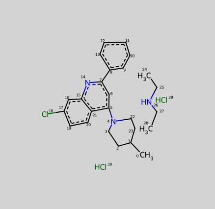 CC1CCN(c2cc(-c3ccccc3)nc3cc(Cl)ccc23)CC1.CCNCC.Cl.Cl